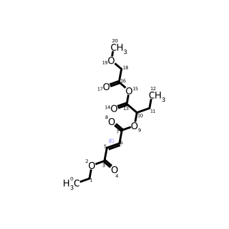 CCOC(=O)/C=C/C(=O)OC(CC)C(=O)OC(=O)COC